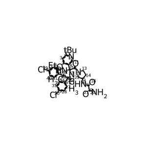 CCOc1cc(C(C)(C)C)ncc1C1(C(=O)N2CCC(NC(=O)C(N)=O)C2)N[C@@](C)(c2ccc(Cl)cc2)[C@@](C)(c2ccc(Cl)cc2)N1